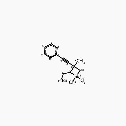 CC(C)(C)CC1C(C)(C#Cc2ccccc2)C[Si]1(Cl)Cl